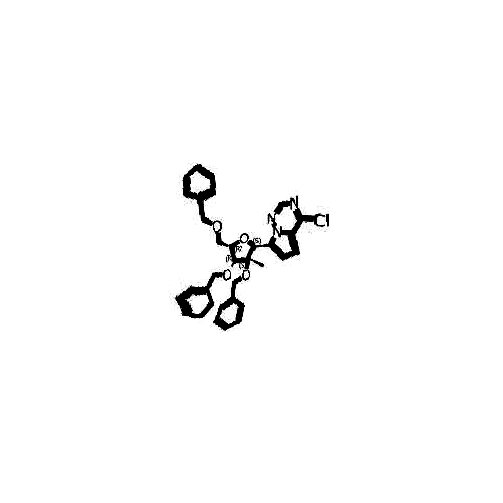 C[C@@]1(OCc2ccccc2)[C@H](OCc2ccccc2)[C@@H](COCc2ccccc2)O[C@H]1c1ccc2c(Cl)ncnn12